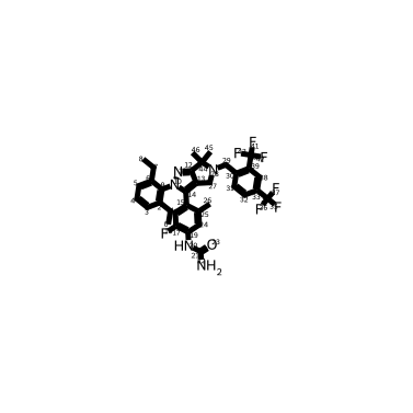 CCc1cccc(CC)c1-n1nc2c(c1-c1cc(F)c(NC(N)=O)cc1C)CN(Cc1ccc(C(F)(F)F)cc1C(F)(F)F)C2(C)C